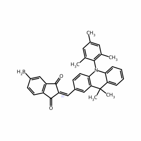 Bc1ccc2c(c1)C(=O)/C(=C\c1ccc3c(c1)C(C)(C)c1ccccc1N3c1c(C)cc(C)cc1C)C2=O